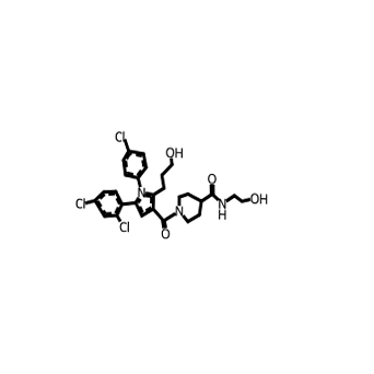 O=C(NCCO)C1CCN(C(=O)c2cc(-c3ccc(Cl)cc3Cl)n(-c3ccc(Cl)cc3)c2CCCO)CC1